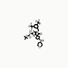 CC(C)(C)OC(=O)Nc1nc(C2(C(=O)NCc3cc(C(F)(F)F)cc(C(F)(F)F)c3)CCC(NC3CCOCC3)C2)cs1